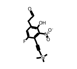 C[Si](C)(C)C#Cc1c(F)cc(CC=O)c(O)c1[N+](=O)[O-]